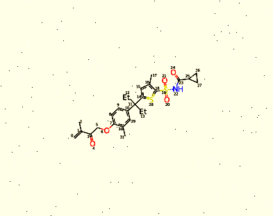 C=C(C)C(=O)COc1ccc(C(CC)(CC)c2cc(C)c(S(=O)(=O)NC(=O)C3CC3)s2)cc1C